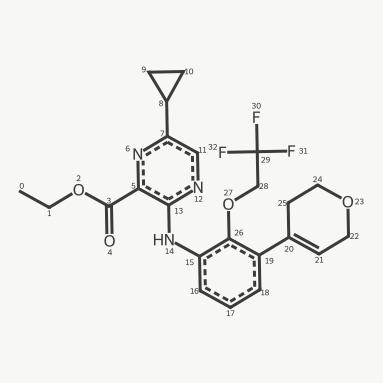 CCOC(=O)c1nc(C2CC2)cnc1Nc1cccc(C2=CCOCC2)c1OCC(F)(F)F